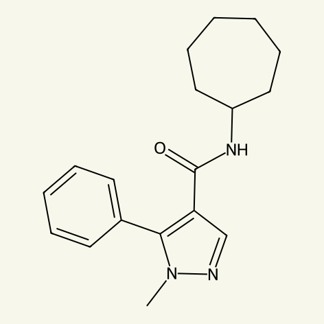 Cn1ncc(C(=O)NC2CCCCCC2)c1-c1ccccc1